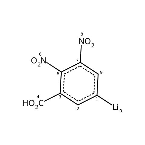 [Li][c]1cc(C(=O)O)c([N+](=O)[O-])c([N+](=O)[O-])c1